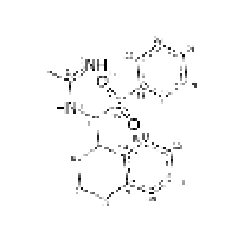 CC(=N)NC(C1CCCc2ccccc21)S(=O)(=O)c1ccccc1